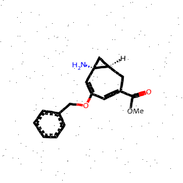 COC(=O)C1=CC(OCc2ccccc2)=C[C@@]2(N)C[C@H]2C1